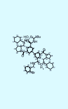 CCC(C)C(NC(=O)c1cc(-c2cc(C(=O)NCc3ccccc3Br)nc(C(=O)N3CCCC3CN(C)C3CCCCC3)c2)cc(C(=O)N2CCCC2CN(C)C2CCCCC2)n1)C(=O)O